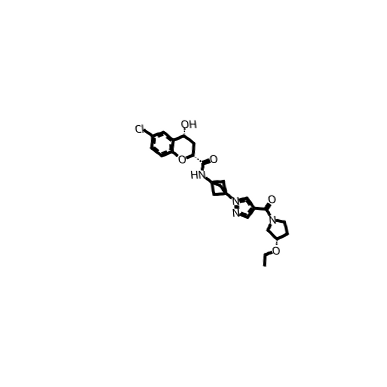 CCO[C@H]1CCN(C(=O)c2cnn(C34CC(NC(=O)[C@H]5C[C@@H](O)c6cc(Cl)ccc6O5)(C3)C4)c2)C1